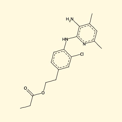 CCC(=O)OCCc1ccc(Nc2nc(C)cc(C)c2N)c(Cl)c1